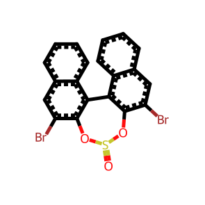 O=S1Oc2c(Br)cc3ccccc3c2-c2c(c(Br)cc3ccccc23)O1